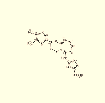 CCOC(=O)c1cnc(NC2=C3CCN(c4ccc(C#N)c(C(F)(F)F)c4)CC3=NC=NC2)o1